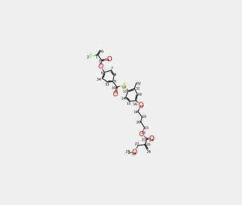 C=C(F)C(=O)Oc1ccc(C(=O)Sc2ccc(OCCCCOC(=O)C(=C)COC)cc2C)cc1